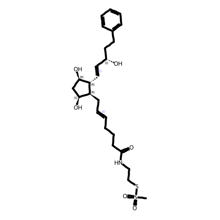 CS(=O)(=O)SCCNC(=O)CCC/C=C/C[C@@H]1[C@@H](/C=C/[C@@H](O)CCc2ccccc2)[C@H](O)C[C@@H]1O